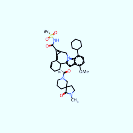 COc1ccc(C2CCCCC2)c2c1cc1n2CC2=C(C(=O)NS(=O)(=O)C(C)C)C2=C2C=CC[C@@H](C(=O)N3CCCC4(CCN(C)C4=O)C3)C21